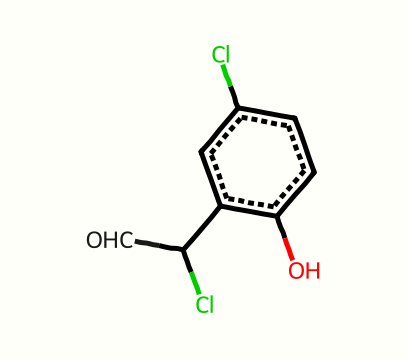 O=CC(Cl)c1cc(Cl)ccc1O